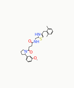 COc1cccc(C2CCCN2C(=O)CCC(=O)NCC2NC(Cc3c(C)cccc3C)=CS2)c1